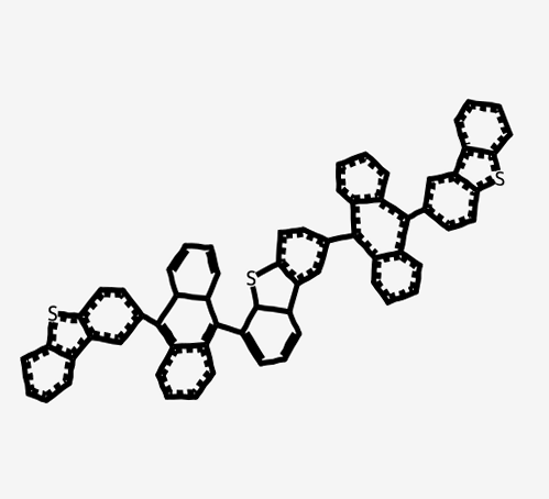 C1=CC2C(C3=CC=CC4c5cc(-c6c7ccccc7c(-c7ccc8sc9ccccc9c8c7)c7ccccc67)ccc5SC34)=c3ccccc3=C(c3ccc4sc5ccccc5c4c3)C2C=C1